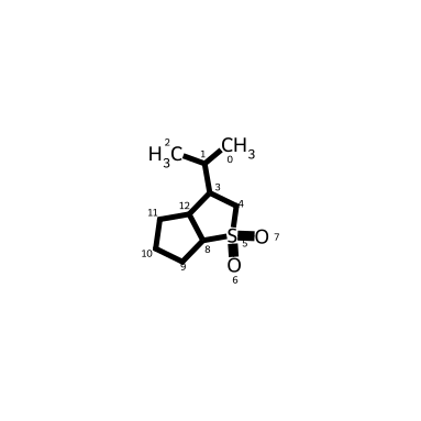 CC(C)C1CS(=O)(=O)C2CCCC12